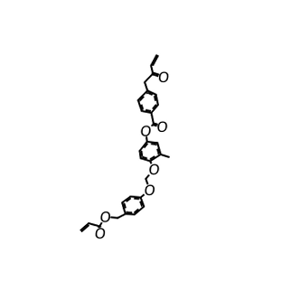 C=CC(=O)Cc1ccc(C(=O)Oc2ccc(OCOc3ccc(COC(=O)C=C)cc3)c(C)c2)cc1